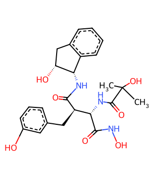 CC(C)(O)C(=O)N[C@H](C(=O)NO)[C@@H](Cc1cccc(O)c1)C(=O)N[C@H]1c2ccccc2C[C@H]1O